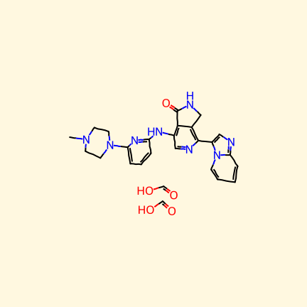 CN1CCN(c2cccc(Nc3cnc(-c4cnc5ccccn45)c4c3C(=O)NC4)n2)CC1.O=CO.O=CO